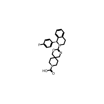 O=C(O)N1CCC2(CC1)CN=C(N1CCc3ccccc3[C@@H]1c1ccc(F)cc1)OC2